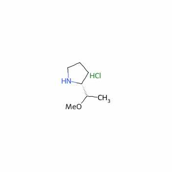 COC(C)[C@H]1CCCN1.Cl